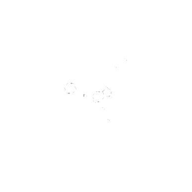 CCN1CCN(CCCn2cnc3c(N4CCN(C5CCCC5)CC4)nc(NCc4ccc(OC)cc4)nc32)CC1